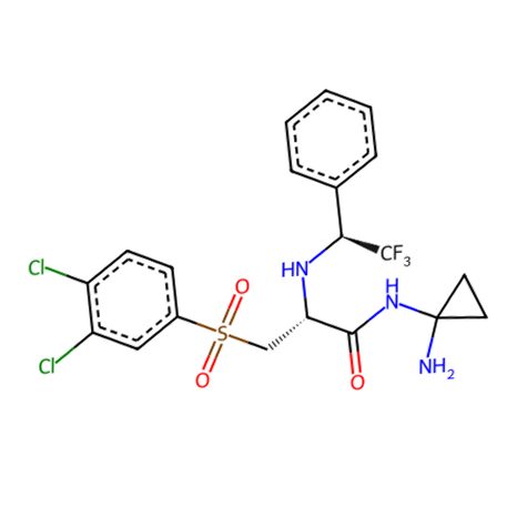 NC1(NC(=O)[C@H](CS(=O)(=O)c2ccc(Cl)c(Cl)c2)N[C@@H](c2ccccc2)C(F)(F)F)CC1